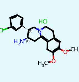 COC1=C(OC)CC2=C3C[C@@H](N)[C@H](c4cccc(Cl)c4)CN3CCC2=C1.Cl